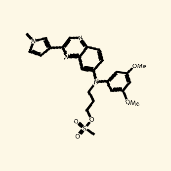 COc1cc(OC)cc(N(CCCOS(C)(=O)=O)c2ccc3ncc(-c4ccn(C)c4)nc3c2)c1